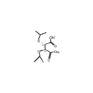 CC(C)O[C@H](C(=O)O)[C@H](OC(C)C)C(=O)O